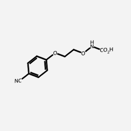 N#Cc1ccc(OCCONC(=O)O)cc1